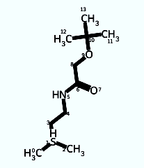 C[SH](C)CCNC(=O)COC(C)(C)C